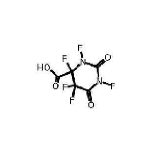 O=C1N(F)C(=O)C(F)(F)C(F)(C(=O)O)N1F